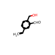 C=Cc1ccc(CO)c(C=O)c1